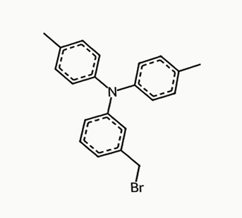 Cc1ccc(N(c2ccc(C)cc2)c2cccc(CBr)c2)cc1